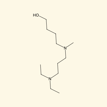 CCN(CC)CCCN(C)CCCCO